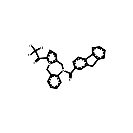 O=C(c1ccc2c(c1)Cc1ccccc1-2)N1Cc2ccc(C(=O)C(Cl)(Cl)Cl)n2Cc2ccccc21